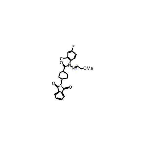 COC/C=N/N(C(=O)C1CCC(N2C(=O)c3ccccc3C2=O)CC1)c1ccc(F)cc1Cl